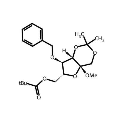 CO[C@]12COC(C)(C)O[C@H]1[C@H](OCc1ccccc1)[C@@H](COC(=O)C(C)(C)C)O2